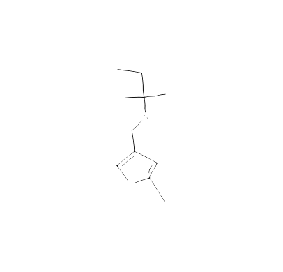 CCC(C)(C)NCc1csc(C)c1